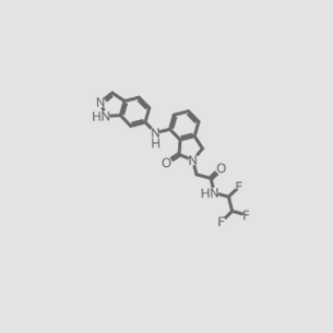 O=C(CN1Cc2cccc(Nc3ccc4cn[nH]c4c3)c2C1=O)NC(F)C(F)F